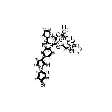 [2H]c1c(-c2ccc3c(c2)nc(C2CCCN2C(=O)OC(C)(C)C)n3COCC[Si](C)(C)C)ccn1-c1ccc(Br)cc1